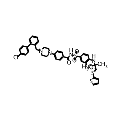 CC(C)(CSc1cccs1)Nc1ccc(S(=O)(=O)NC(=O)c2ccc(N3CCN(Cc4ccccc4-c4ccc(Cl)cc4)CC3)cc2)cc1[N+](=O)[O-]